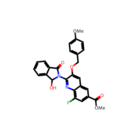 COC(=O)c1cc(F)c2nc(N3C(=O)c4ccccc4C3O)c(OCc3ccc(OC)cc3)cc2c1